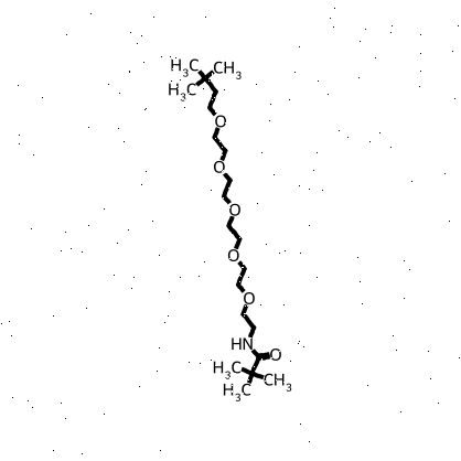 CC(C)(C)CCOCCOCCOCCOCCOCCNC(=O)C(C)(C)C